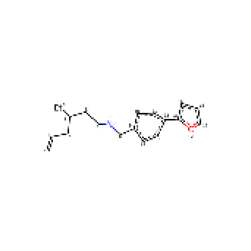 C=CCC(CC)CCNCc1ccc(-c2ccco2)cc1